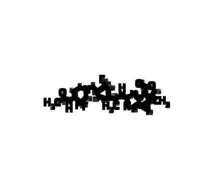 CC(=O)NC1CCN(Cc2ccc([C@H](C)Nc3nccc(N4C(=O)OC[C@]4(C)C4CC4)n3)cc2F)CC1(F)F